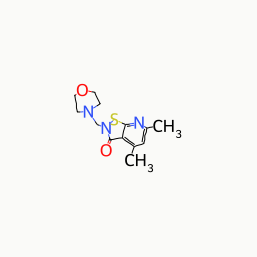 Cc1cc(C)c2c(=O)n(CN3CCOCC3)sc2n1